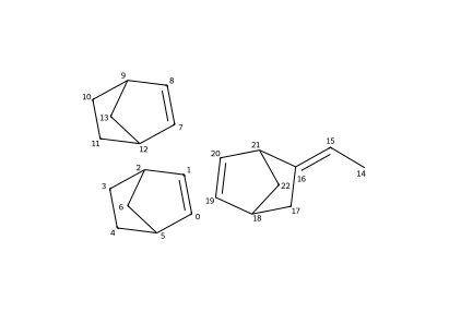 C1=CC2CCC1C2.C1=CC2CCC1C2.CC=C1CC2C=CC1C2